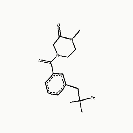 CCC(C)(C)Cc1cccc(C(=O)N2CCN(C)C(=O)C2)c1